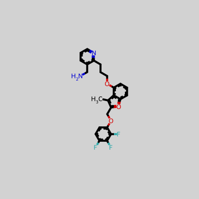 Cc1c(COc2ccc(F)c(F)c2F)oc2cccc(OCCCc3ncccc3CN)c12